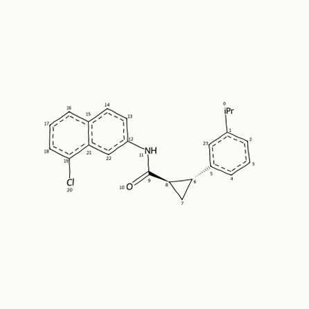 CC(C)c1cccc([C@@H]2C[C@H]2C(=O)Nc2ccc3cccc(Cl)c3c2)c1